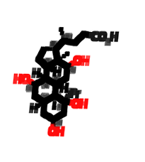 CC(C)[C@@]1(O)C[C@@H](O)C[C@H]2C[C@@H](O)[C@H]3[C@@H]4CC[C@H]([C@H](C)CCC(=O)O)[C@@]4(C)[C@@H](O)C[C@@H]3[C@]21C